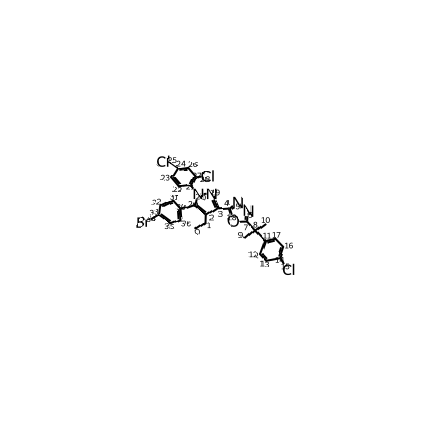 CCc1c(-c2nnc(C(C)(C)c3ccc(Cl)cc3)o2)nn(-c2ccc(Cl)cc2Cl)c1-c1ccc(Br)cc1